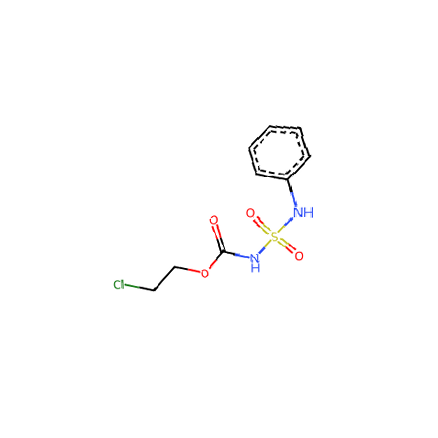 O=C(NS(=O)(=O)Nc1ccccc1)OCCCl